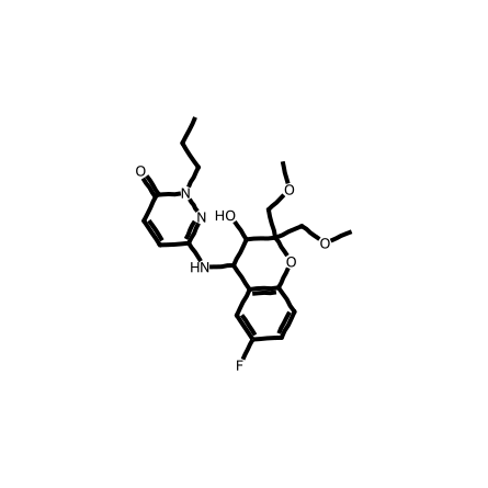 CCCn1nc(NC2c3cc(F)ccc3OC(COC)(COC)C2O)ccc1=O